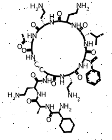 C=C(c1ccccc1)[C@H]1NC(=O)[C@H](CCN)NC(=O)[C@@H](NC(=O)[C@H](CCN)NC(=O)[C@H](C)NC(=O)[C@@H](N)C2CCCCC2)CCNC(=O)[C@H](C(C)=O)NC(=O)[C@H](CCN)NC(=O)C(CCN)NC(=O)[C@H](CC(C)C)NC1=O